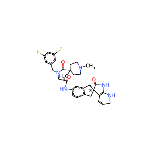 CN1CCC(C)(C(=O)N(CC(=O)Nc2ccc3c(c2)C[C@@]2(C3)C(=O)NC3=C2C=CCN3)Cc2cc(F)cc(F)c2)CC1